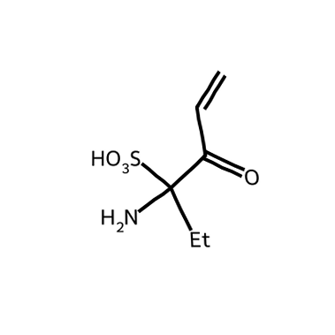 C=CC(=O)C(N)(CC)S(=O)(=O)O